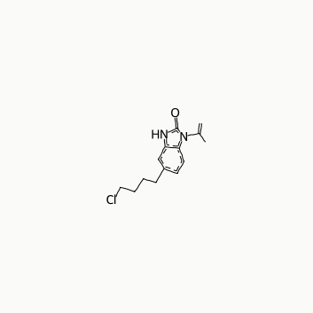 C=C(C)n1c(=O)[nH]c2cc(CCCCCl)ccc21